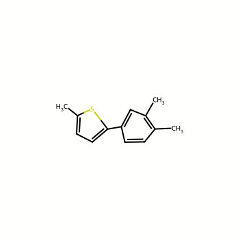 Cc1ccc(-c2ccc(C)c(C)c2)s1